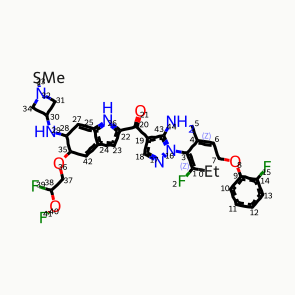 CC/C(F)=C(\C(C)=C/COc1ccccc1F)n1ncc(C(=O)c2cc3c([nH]2)=CC(NC2CN(SC)C2)C(OCC(F)OF)C=3)c1N